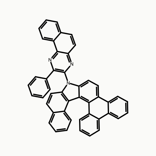 c1ccc(-c2nc3c(ccc4ccccc43)nc2-n2c3ccc4ccccc4c3c3c4c5ccccc5c5ccccc5c4ccc32)cc1